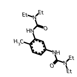 CCN(CC)C(=O)Nc1ccc(C)c(NC(=O)N(CC)CC)c1